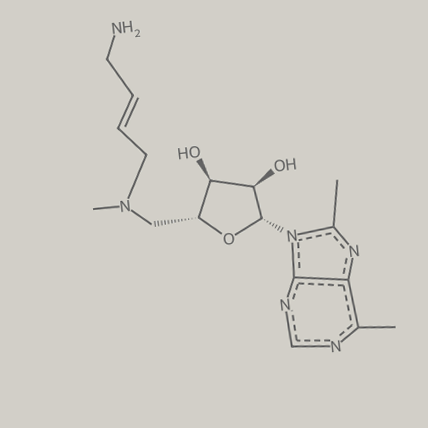 Cc1ncnc2c1nc(C)n2[C@@H]1O[C@H](CN(C)C/C=C/CN)[C@@H](O)[C@H]1O